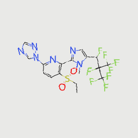 CCS(=O)(=O)c1ccc(-n2cncn2)nc1-c1ncc(C(F)C(F)(C(F)(F)F)C(F)(F)F)n1C